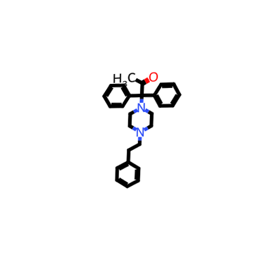 CC(=O)C(c1ccccc1)(c1ccccc1)N1CCN(CCc2ccccc2)CC1